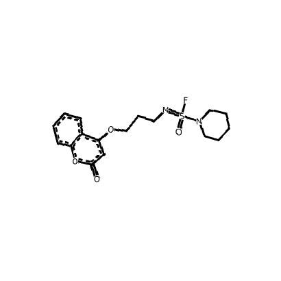 O=c1cc(OCCCN=S(=O)(F)N2CCCCC2)c2ccccc2o1